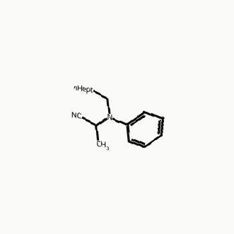 CCCCCCCCN(c1ccccc1)C(C)C#N